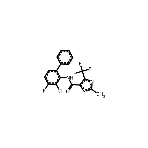 Cc1nc(C(F)(F)F)c(C(=O)Nc2c(-c3ccccc3)ccc(F)c2Cl)s1